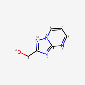 [O]Cc1nc2ncccn2n1